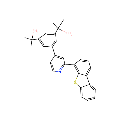 BC(C)(C)c1cc(-c2ccnc(-c3cccc4c3sc3ccccc34)c2)cc(C(B)(C)C)c1